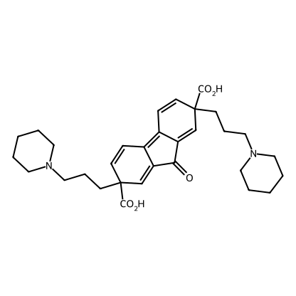 O=C1C2=CC(CCCN3CCCCC3)(C(=O)O)C=CC2=C2C=CC(CCCN3CCCCC3)(C(=O)O)C=C12